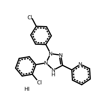 Clc1ccc(N2N=C(c3ccccn3)NN2c2ccccc2Cl)cc1.I